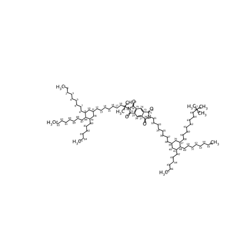 CCCCCCCCCC1CC(CCCCCCCC(C)(C)n2c(=O)c3cc4c(=O)n(CCCCCCCCC5CC(CCCCCC)C(CCCCCCCC)C(CCCCCCCCC(C)(C)C)C5)c(=O)c4cc3c2=O)CC(CCCCCC)C1CCCCCCCC